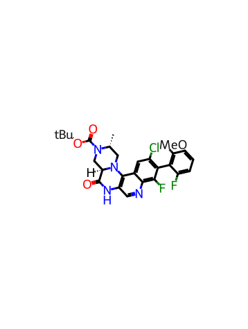 COc1cccc(F)c1-c1c(Cl)cc2c3c(cnc2c1F)NC(=O)[C@H]1CN(C(=O)OC(C)(C)C)[C@H](C)CN31